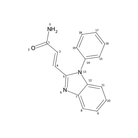 NC(=O)/C=C/c1nc2ccccc2n1-c1ccccc1